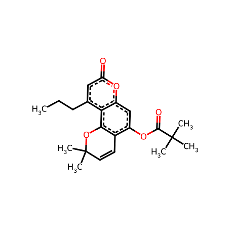 CCCc1cc(=O)oc2cc(OC(=O)C(C)(C)C)c3c(c12)OC(C)(C)C=C3